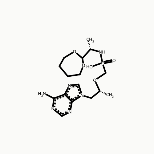 C[C@H](Cn1cnc2c(N)ncnc21)OCP(=O)(O)N[C@@H](C)C1OCCCCO1